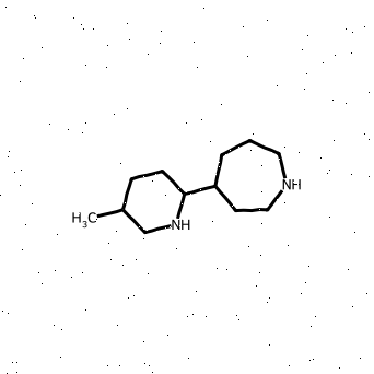 CC1CCC(C2CCCNCC2)NC1